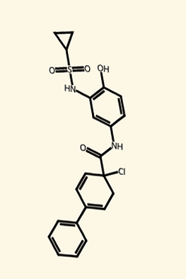 O=C(Nc1ccc(O)c(NS(=O)(=O)C2CC2)c1)C1(Cl)C=CC(c2ccccc2)=CC1